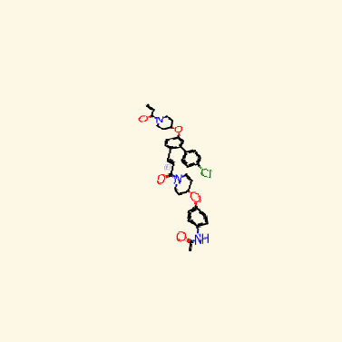 C=CC(=O)N1CCC(Oc2ccc(/C=C/C(=O)N3CCC(Oc4ccc(NC(C)=O)cc4)CC3)c(-c3ccc(Cl)cc3)c2)CC1